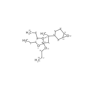 CCCO[Si](CC(C)C1CCC2OC2C1)(OCCC)OCCC